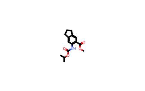 COC(=O)c1cc2c(cc1NC(=O)OC(C)C)CCC2